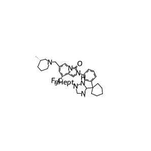 CCCCCCCN1CN(C)C(C2(c3cccc(-n4cc5c(C(F)(F)F)cc(CN6CCC[C@H](C)C6)cn5c4=O)c3)CCCCC2)N1